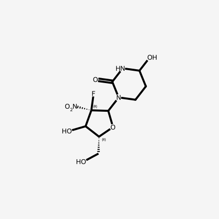 O=C1NC(O)CCN1C1O[C@H](CO)C(O)[C@]1(F)[N+](=O)[O-]